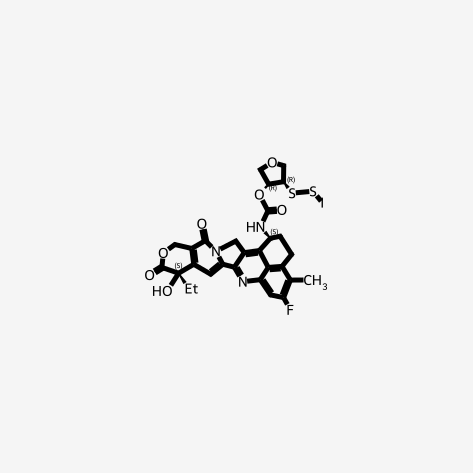 CC[C@@]1(O)C(=O)OCc2c1cc1n(c2=O)Cc2c-1nc1cc(F)c(C)c3c1c2[C@@H](NC(=O)O[C@@H]1COC[C@H]1SSI)CC3